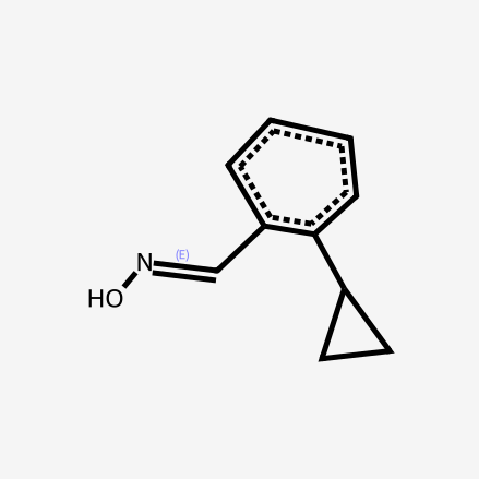 O/N=C/c1ccccc1C1CC1